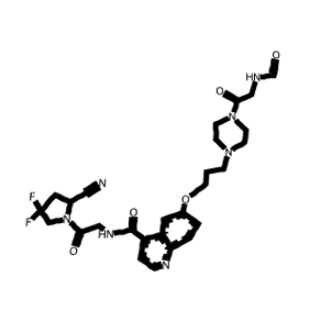 N#CC1CC(F)(F)CN1C(=O)CNC(=O)c1ccnc2ccc(OCCCN3CCN(C(=O)CNC=O)CC3)cc12